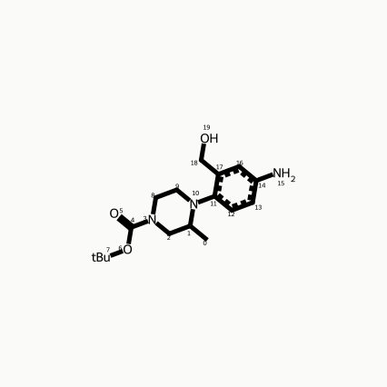 CC1CN(C(=O)OC(C)(C)C)CCN1c1ccc(N)cc1CO